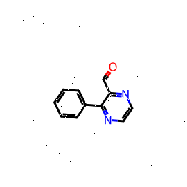 O=Cc1nccnc1-c1ccccc1